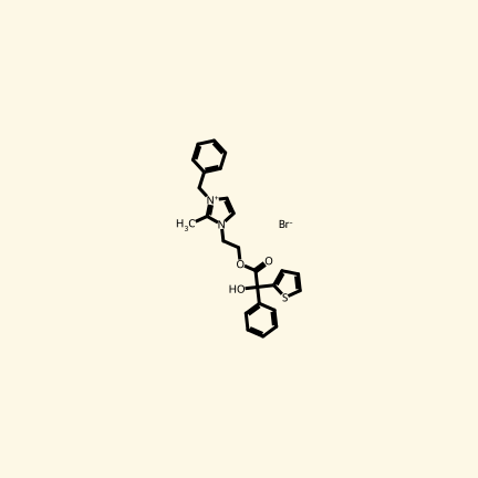 Cc1n(CCOC(=O)C(O)(c2ccccc2)c2cccs2)cc[n+]1Cc1ccccc1.[Br-]